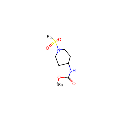 CCS(=O)(=O)N1CCC(NC(=O)OC(C)(C)C)CC1